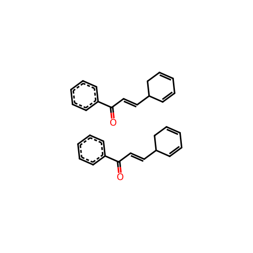 O=C(C=CC1C=CC=CC1)c1ccccc1.O=C(C=CC1C=CC=CC1)c1ccccc1